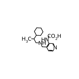 CC(CNCc1ccncc1NC(=O)O)C1CCCCC1